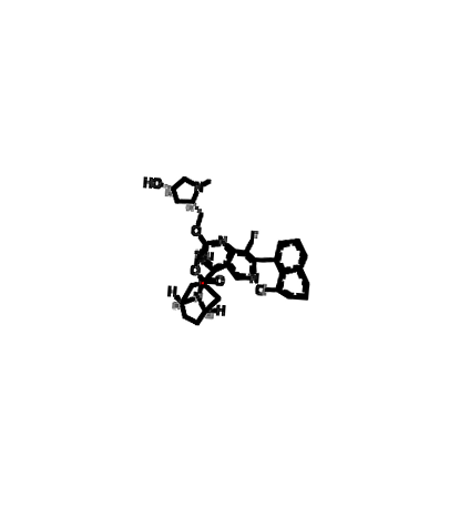 CN1C[C@@H](O)C[C@H]1COc1nc(N2C[C@H]3CC[C@@H](C2)N3C(=O)OC(C)(C)C)c2cnc(-c3cccc4cccc(Cl)c34)c(F)c2n1